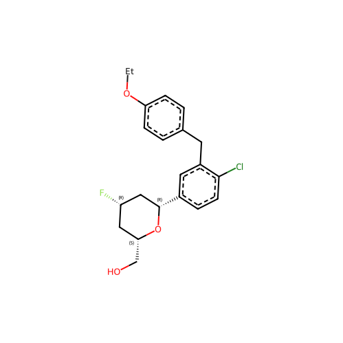 CCOc1ccc(Cc2cc([C@H]3C[C@@H](F)C[C@@H](CO)O3)ccc2Cl)cc1